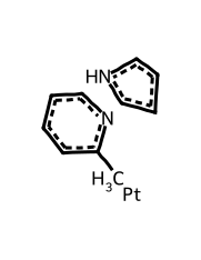 Cc1ccccn1.[Pt].c1cc[nH]c1